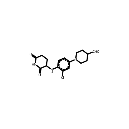 O=CC1CCN(c2ccc(NC3CCC(=O)NC3=O)c(Cl)c2)CC1